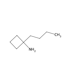 CCCCC1(N)CCC1